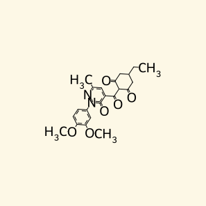 CCC1CC(=O)C(C(=O)c2cc(C)nn(-c3ccc(OC)c(OC)c3)c2=O)C(=O)C1